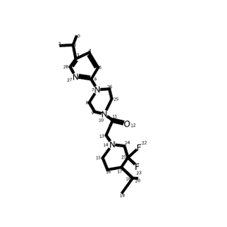 CC(C)c1ccc(N2CCN(C(=O)CN3CCC(C(C)C)C(F)(F)C3)CC2)nc1